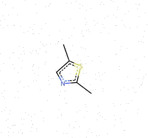 Cc1cnc(C)s1